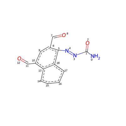 NC(=O)N=Nc1c(C=O)cc(C=O)c2ccccc12